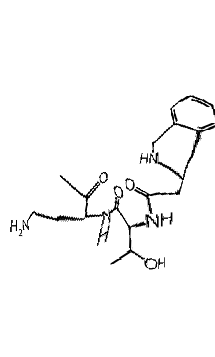 CC(=O)[C@H](CCN)NC(=O)[C@@H](NC(=O)C[C@@H]1Cc2ccccc2CN1)C(C)O